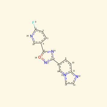 Fc1ccc(-c2nc(-c3ccc4nccn4c3)no2)cn1